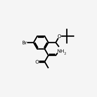 CC(=O)/C(=C/N)c1cc(Br)ccc1C(C)OC(C)(C)C